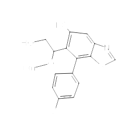 Cc1cc2ncsc2c(-c2ccc(Cl)cc2)c1C(CO)OC(C)(C)C